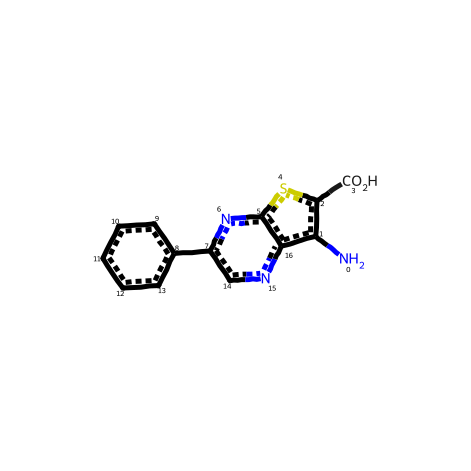 Nc1c(C(=O)O)sc2nc(-c3ccccc3)cnc12